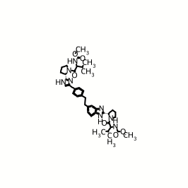 COC(=O)NC(C(=O)N1CCC[C@H]1c1nc(-c2ccc(CCc3ccc4[nH]c([C@@H]5CCCN5C(=O)C(NC(=O)OC)C(C)C)nc4c3)cc2)c[nH]1)C(C)C